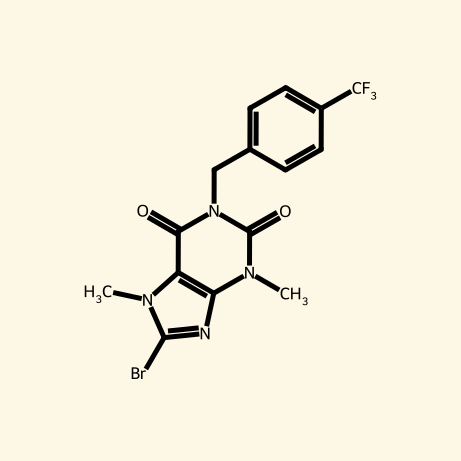 Cn1c(Br)nc2c1c(=O)n(Cc1ccc(C(F)(F)F)cc1)c(=O)n2C